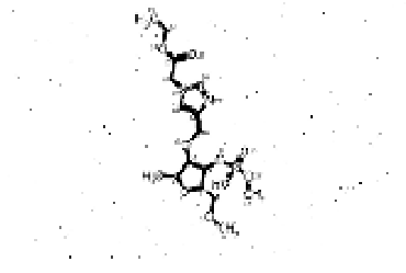 B[C@@H]1O[C@H](COC)C(OP(=O)(O)OC)[C@@H]1OCc1cn(CC(=O)OCC)nn1